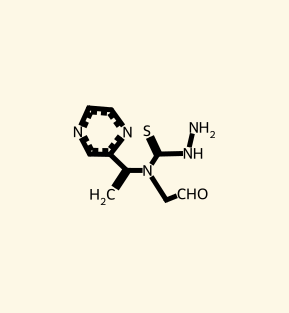 C=C(c1cnccn1)N(CC=O)C(=S)NN